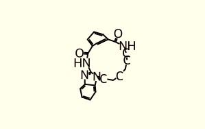 O=C1NCCCCCCn2c(nc3ccccc32)NC(=O)c2cccc1c2